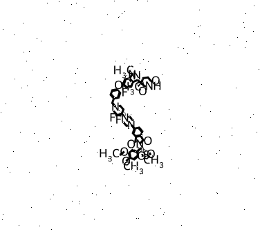 CCOc1cc([C@@H](CS(C)(=O)=O)N2C(=O)c3ccc(N4CCN([C@H]5CCN(Cc6ccc(Oc7cc8c(cc7F)c([C@]7(C)CCC(=O)NC7=O)nn8C)cc6)CC5(F)F)CC4)cc3C2=O)ccc1OC